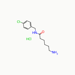 Cl.NCCCCCC(=O)NCc1ccc(Cl)cc1